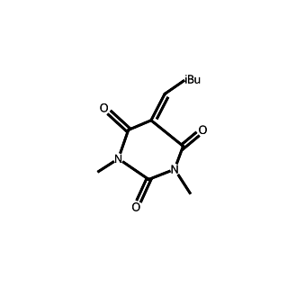 CCC(C)C=C1C(=O)N(C)C(=O)N(C)C1=O